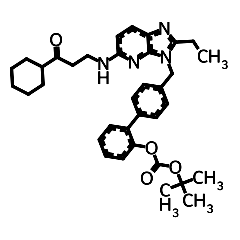 CCc1nc2ccc(NCCC(=O)C3CCCCC3)nc2n1Cc1ccc(-c2ccccc2OC(=O)OC(C)(C)C)cc1